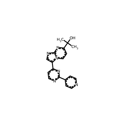 CC(C)(O)c1ccn2c(-c3ccnc(-c4ccncc4)n3)cnc2n1